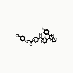 O=C(COc1ccc(Cl)cc1)N1CCC(Nc2nccc(C3C(c4ccc(F)cc4)N=C4OC=CN43)n2)CC1